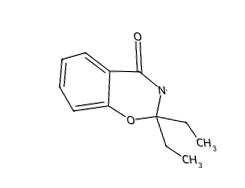 CCC1(CC)[N]C(=O)c2ccccc2O1